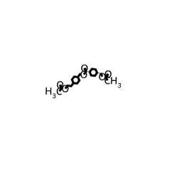 CC(=O)OCCC1CCC(COC(=O)[C@H]2CC[C@@H](COC(C)=O)CC2)CC1